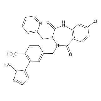 Cn1nccc1-c1cc(CN2C(=O)c3ccc(Cl)cc3NC(=O)C2Cc2ccccn2)ccc1C(=O)O